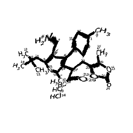 Cc1ccc(-c2c(CN)c(CC(C)(C)C)nc(C)c2C(Cc2oc(=O)oc2C)C(=O)O)cc1.Cl.Cl